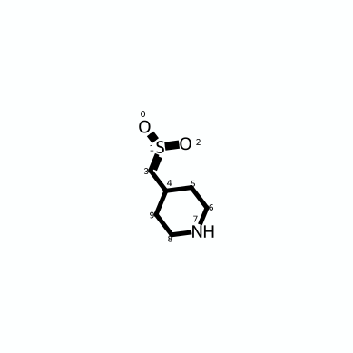 O=S(=O)=CC1CCNCC1